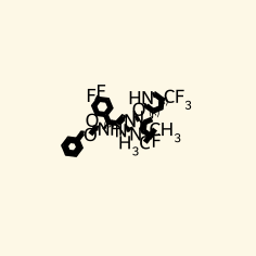 CC(C)(F)c1nc2nc([C@@H](NC(=O)OCc3ccccc3)C3CCC(F)(F)CC3)cn2nc1C[C@H]1C[C@@H](C(F)(F)F)CNC1=O